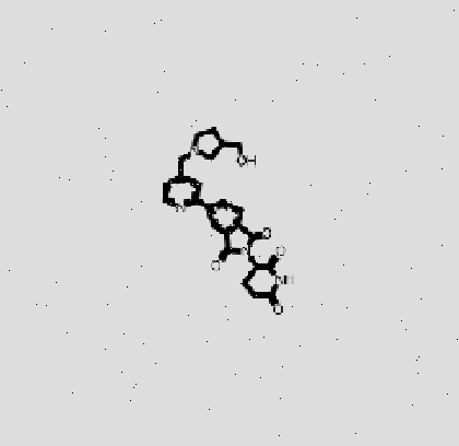 O=C1CCC(N2C(=O)c3ccc(-c4cc(CN5CCC(CO)C5)ccn4)cc3C2=O)C(=O)N1